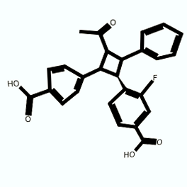 CC(=O)C1C(c2ccccc2)[C@@H](c2ccc(C(=O)O)cc2F)C1c1ccc(C(=O)O)cc1